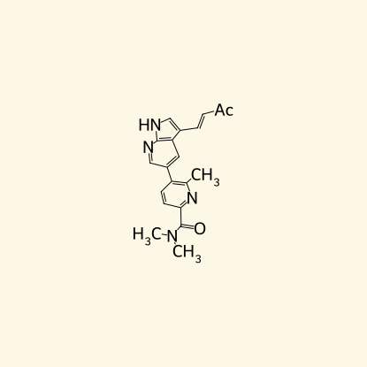 CC(=O)/C=C/c1c[nH]c2ncc(-c3ccc(C(=O)N(C)C)nc3C)cc12